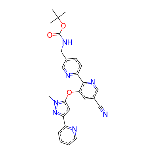 Cn1nc(-c2ccccn2)cc1Oc1cc(C#N)cnc1-c1ccc(CNC(=O)OC(C)(C)C)cn1